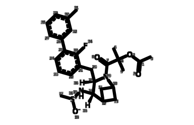 CC(=O)OC(C)(C)C(=O)N1C2CC(C2)[C@H](N[S+](C)[O-])[C@@H]1Cc1cccc(-c2cccc(C)c2)c1F